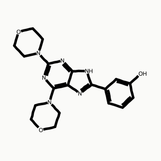 Oc1cccc(-c2nc3c(N4CCOCC4)nc(N4CCOCC4)nc3[nH]2)c1